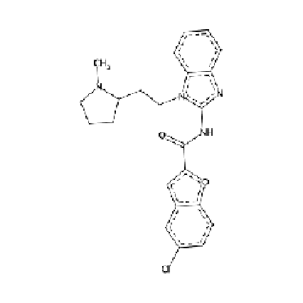 CN1CCCC1CCn1c(NC(=O)c2cc3cc(Cl)ccc3o2)nc2ccccc21